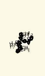 CC1(C)c2ccccc2-c2ccc(N(c3ccc(-c4cccc5c4sc4ccccc45)cc3)c3ccc4c(c3)-c3cc5c(cc3C4(C)C)-c3ccccc3C5(C)C)cc21